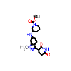 Cn1nc(C2CCC(=O)NC2=O)c2ccc(N[C@@H]3CCCN(C(=O)OC(C)(C)C)C3)cc21